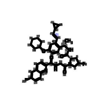 C[C@H](NC(=O)[C@@H]1C[C@@H](F)CN1C(=O)CNC(=O)c1ccc2cc(F)ccc2n1)c1ccc(OC2CCCCC2)cc1/C=C/C1CC1